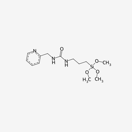 CO[Si](CCCNC(=O)NCc1ccccn1)(OC)OC